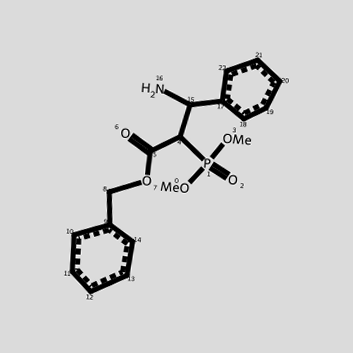 COP(=O)(OC)C(C(=O)OCc1ccccc1)C(N)c1ccccc1